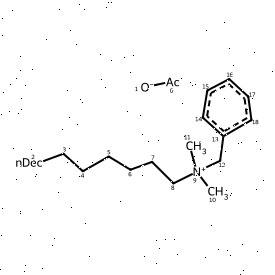 CC(=O)[O-].CCCCCCCCCCCCCCCC[N+](C)(C)Cc1ccccc1